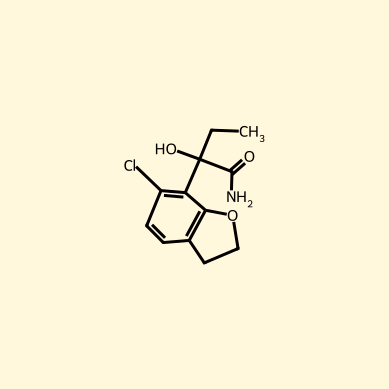 CCC(O)(C(N)=O)c1c(Cl)ccc2c1OCC2